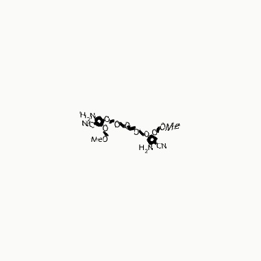 COCCOc1cc(C#N)c(N)cc1OCCOCCOCCOCCOc1cc(N)c(C#N)cc1OCCOC